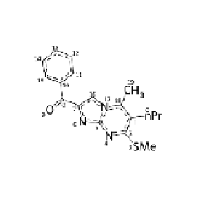 CCCc1c(SC)nc2nc(C(=O)c3ccccc3)cn2c1C